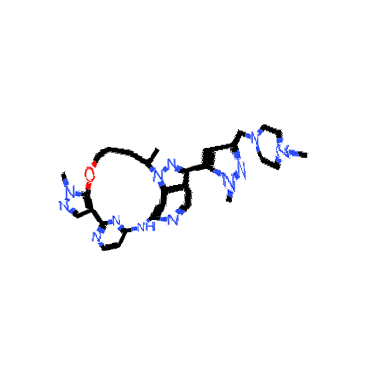 CC1CCCOc2c(cnn2C)-c2nccc(n2)Nc2cc3c(cn2)c(-c2cc(CN4CCN(C)CC4)nn2C)nn31